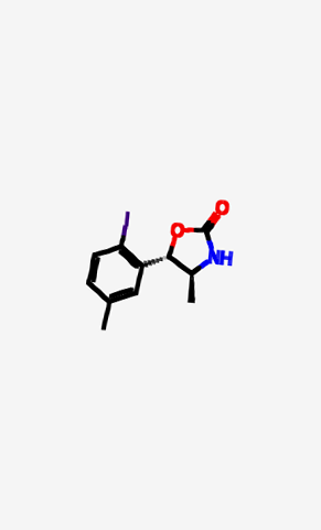 Cc1ccc(I)c([C@@H]2OC(=O)N[C@H]2C)c1